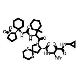 CCC[C@@H](NC(=O)[C@@H]1CC2(CN1C(=O)[C@@H](NC(=O)NC1([C@H]3CCCS3(=O)=O)CCCCC1)C1(C)CCCCC1)SCCCS2)C(=O)C(=O)NC1CC1